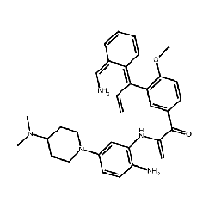 C=C/C(c1cc(C(=O)C(=C)Nc2cc(N3CCC(N(C)C)CC3)ccc2N)ccc1OC)=c1/cccc/c1=C/N